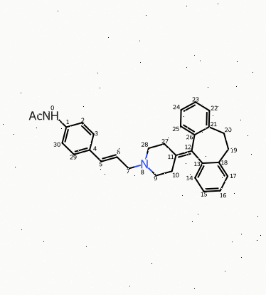 CC(=O)Nc1ccc(C=CCN2CCC(=C3c4ccccc4CCc4ccccc43)CC2)cc1